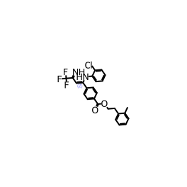 Cc1ccccc1CCOC(=O)c1ccc(/C(=C/C(=N)C(F)(F)F)Nc2ccccc2Cl)cc1